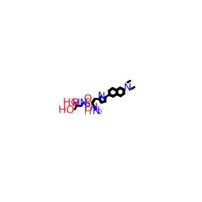 CCN(CC)c1ccc2cc(-c3ccc(/C=C(\C#N)[SH](=O)(P)NCC(O)CO)n3C)ccc2c1